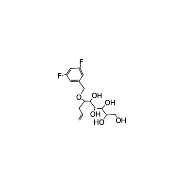 C=CCC(OCc1cc(F)cc(F)c1)C(O)C(O)C(O)C(O)CO